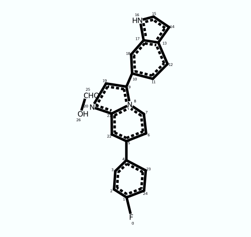 Fc1ccc(-c2ccn3c(-c4ccc5cc[nH]c5c4)cnc3c2)cc1.O=CO